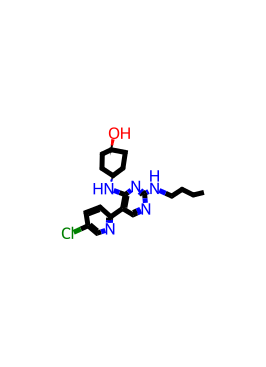 CCCCNc1ncc(-c2ccc(Cl)cn2)c(N[C@H]2CC[C@H](O)CC2)n1